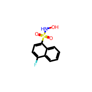 O=S(=O)(NO)c1ccc(F)c2ccccc12